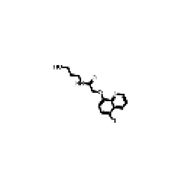 O=C(COc1ccc(Cl)c2cccnc12)NCCCO